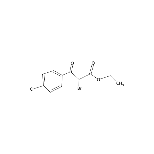 CCOC(=O)C(Br)C(=O)c1ccc(Cl)cc1